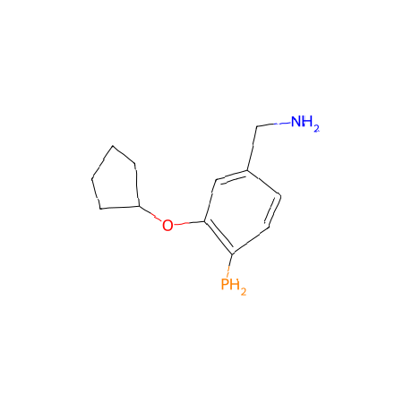 NCc1ccc(P)c(OC2CCCC2)c1